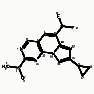 C[S+]([O-])c1ncc2cc(C(F)F)c3nc(C4CC4)cn3c2n1